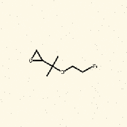 CC(C)CCOC(C)(C)C1CO1